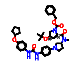 CN(C(=O)[C@@H]1C[C@@H](OC(C)(C)C)CN1C(=O)OCc1ccccc1)C1CCN(c2ccc(NC(=O)Nc3ccc(OC4CCCC4)cc3)cc2)C1